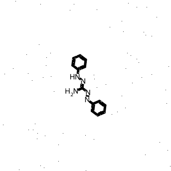 NC(/N=N/c1ccccc1)=N\Nc1ccccc1